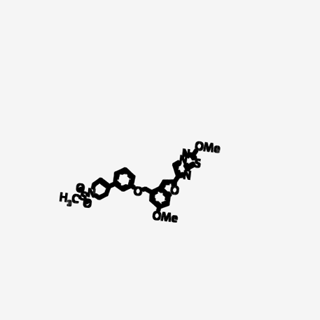 COc1cc(COc2cccc(C3=CCN(S(C)(=O)=O)CC3)c2)c2cc(-c3cn4nc(OC)sc4n3)oc2c1